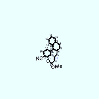 COC(=O)/C=C/Cc1ccc2ccccc2c1-c1ccc(C#N)cc1